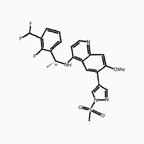 COc1cc2nccc(N[C@H](C)c3cccc(C(F)F)c3F)c2cc1-c1cnn(S(C)(=O)=O)c1